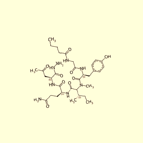 CCCCC(=O)NCC(=O)N[C@@H](Cc1ccc(O)cc1)C(=O)N(C)C(C(=O)N[C@@H](CCC(N)=O)C(=O)N[C@@H](CC(C)=O)C(=O)NN)[C@@H](C)CC